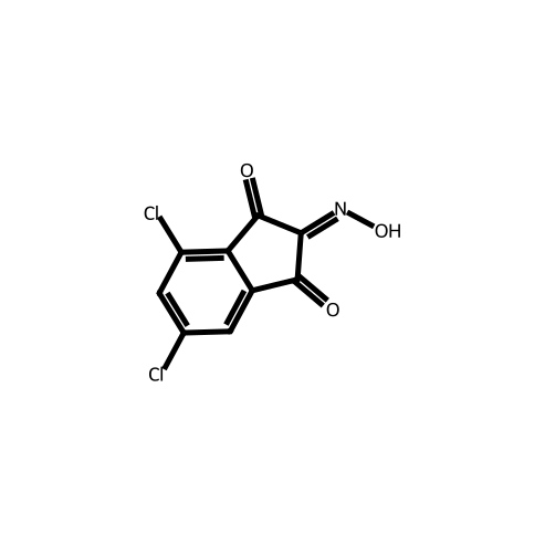 O=c1/c(=N\O)c(=O)c2c(Cl)cc(Cl)cc12